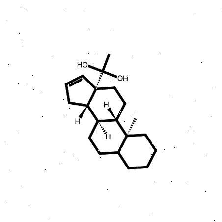 CC(O)(O)[C@@]12C=CC[C@H]1[C@@H]1CCC3CCCC[C@]3(C)[C@H]1CC2